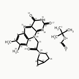 CC(C)(C)OC=O.Cc1cc2nc3c(=O)[nH]c(=O)nc-3n(CC(=O)N3CCC4CC43)c2cc1C